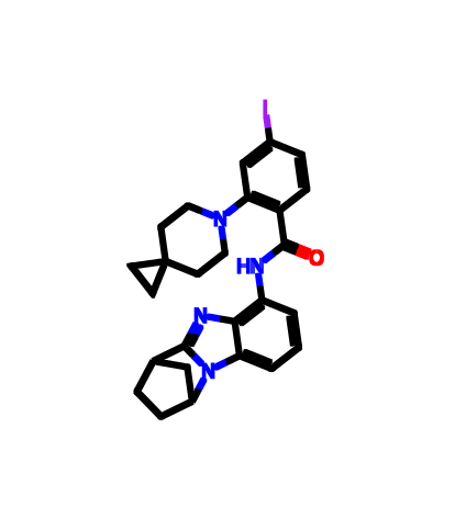 O=C(Nc1cccc2c1nc1n2C2CCC1C2)c1ccc(I)cc1N1CCC2(CC1)CC2